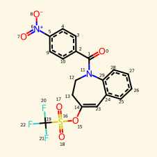 O=C(c1ccc([N+](=O)[O-])cc1)N1CCC(OS(=O)(=O)C(F)(F)F)=Cc2ccccc21